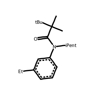 CCCC(C)N(C(=O)C(C)(C)C(C)(C)C)c1cccc(CC)c1